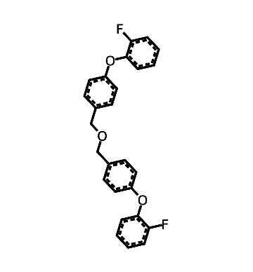 Fc1ccccc1Oc1ccc(COCc2ccc(Oc3ccccc3F)cc2)cc1